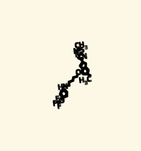 CCc1cc2c(c(OCCCCCNc3ccc(OC(F)(F)F)cc3)c1)C=C(c1cn3nc(C)sc3n1)C2